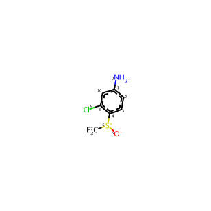 Nc1ccc([S+]([O-])C(F)(F)F)c(Cl)c1